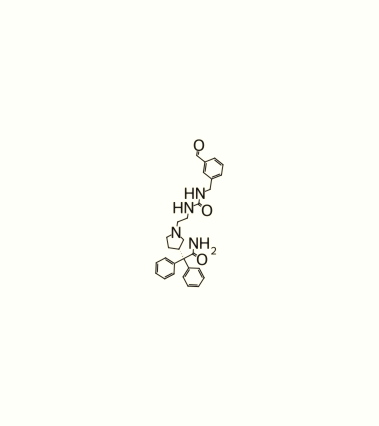 NC(=O)C(c1ccccc1)(c1ccccc1)[C@@H]1CCN(CCNC(=O)NCc2cccc(C=O)c2)C1